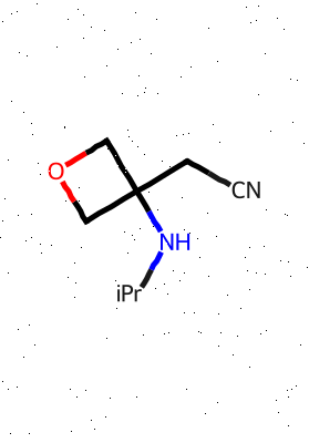 CC(C)NC1(CC#N)COC1